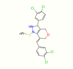 CCCSN1NC(c2ccc(Cl)c(Cl)c2)C2=C1C(=Cc1ccc(Cl)c(Cl)c1)COC2